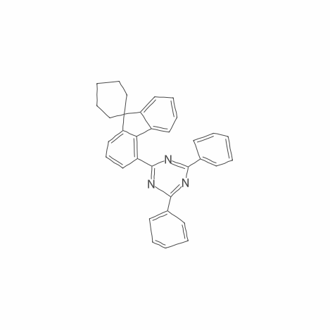 c1ccc(-c2nc(-c3ccccc3)nc(-c3cccc4c3-c3ccccc3C43CCCCC3)n2)cc1